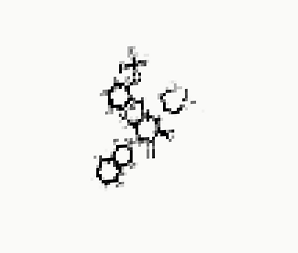 CCC(CC)[C@@H]1C(=O)N[C@H](C2Cc3ccccc3C2)C(=O)N1Cc1ccccc1OC(F)(F)F